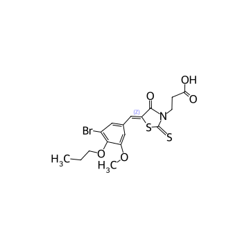 CCCOc1c(Br)cc(/C=C2\SC(=S)N(CCC(=O)O)C2=O)cc1OC